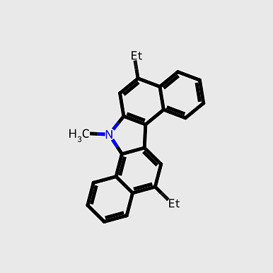 CCc1cc2c(c3ccccc13)c1cc(CC)c3ccccc3c1n2C